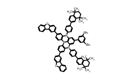 CC(C)(C)c1cc(-c2cc3c4c(c2)N(c2ccc(-c5ccc6c(c5)C(C)(C)CCC6(C)C)cc2)c2cc(-c5ccc6oc7ccccc7c6c5)ccc2B4c2ccc(-c4ccc5oc6ccccc6c5c4)cc2N3c2ccc(-c3ccc4c(c3)C(C)(C)CCC4(C)C)cc2)cc(C(C)(C)C)c1